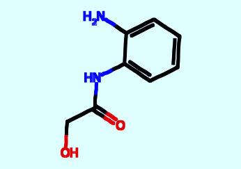 Nc1ccccc1NC(=O)CO